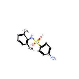 Cc1cccc(C)c1NS(=O)(=O)c1ccc(N)cc1